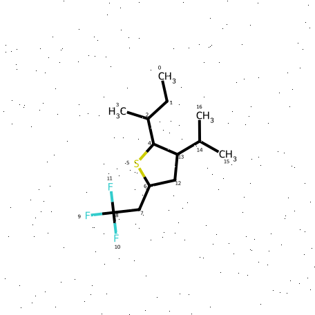 CCC(C)C1SC(CC(F)(F)F)CC1C(C)C